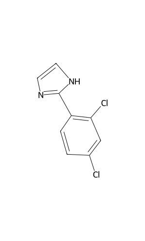 Clc1ccc(-c2ncc[nH]2)c(Cl)c1